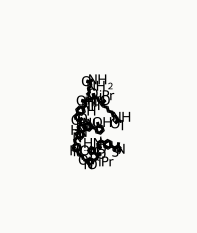 Cc1ncsc1-c1ccc([C@H](C)NC(=O)[C@@H]2C[C@@H](O)CN2C(=O)[C@@H](c2cc(OCCN3CCC(CN4CCN5c6cc(-c7ccccc7O)nnc6N(C(=O)OCc6ccc(NC(=O)[C@H](CCCNC(N)=O)NC(=O)[C@@H](NC(=O)CCCCCNC(=O)CI)C(C)C)cc6)C[C@H]5C4)CC3)no2)C(C)C)cc1